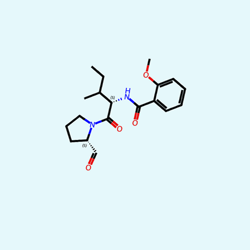 CCC(C)[C@H](NC(=O)c1ccccc1OC)C(=O)N1CCC[C@H]1C=O